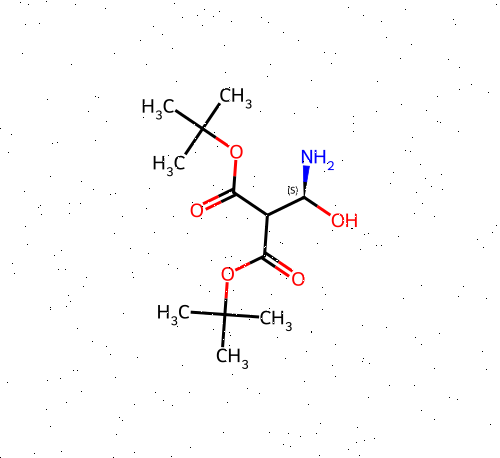 CC(C)(C)OC(=O)C(C(=O)OC(C)(C)C)[C@@H](N)O